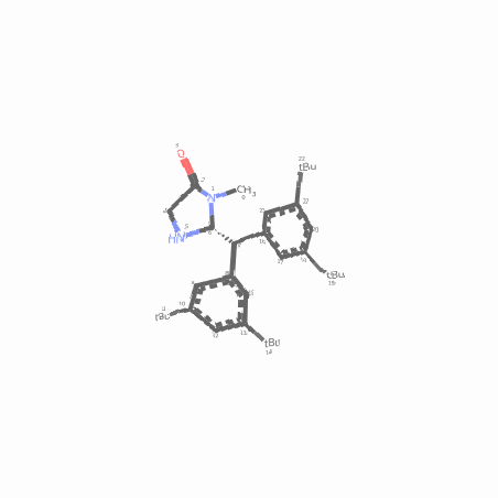 CN1C(=O)CN[C@H]1C(c1cc(C(C)(C)C)cc(C(C)(C)C)c1)c1cc(C(C)(C)C)cc(C(C)(C)C)c1